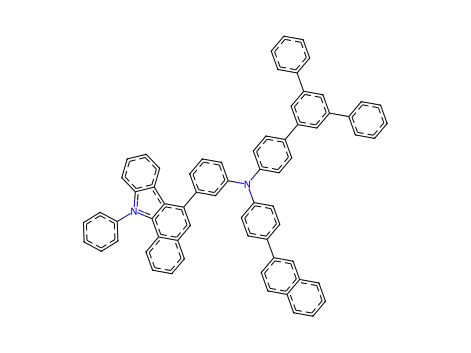 c1ccc(-c2cc(-c3ccccc3)cc(-c3ccc(N(c4ccc(-c5ccc6ccccc6c5)cc4)c4cccc(-c5cc6ccccc6c6c5c5ccccc5n6-c5ccccc5)c4)cc3)c2)cc1